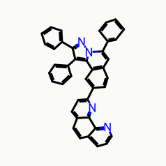 c1ccc(-c2nn3c(-c4ccccc4)cc4ccc(-c5ccc6ccc7cccnc7c6n5)cc4c3c2-c2ccccc2)cc1